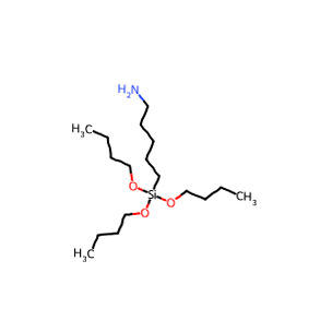 CCCCO[Si](CCCCCN)(OCCCC)OCCCC